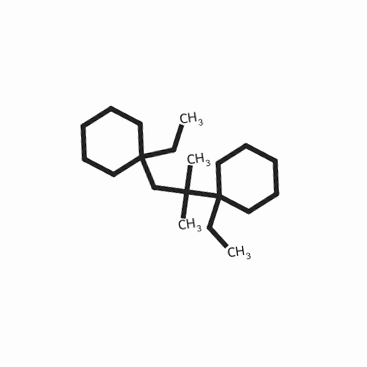 CCC1(CC(C)(C)C2(CC)CCCCC2)CCCCC1